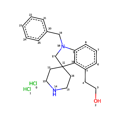 Cl.Cl.OCCc1cccc2c1C1(CCNCC1)CN2Cc1ccccc1